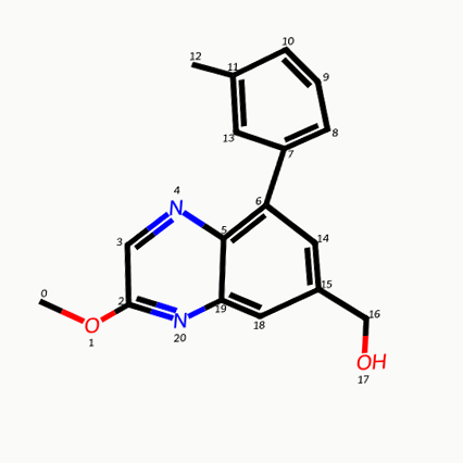 COc1cnc2c(-c3cccc(C)c3)cc(CO)cc2n1